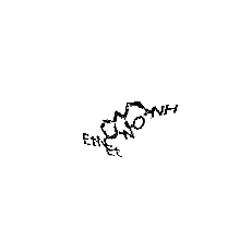 CCN(CC)c1ccc2cc3ccc(=N)oc3nc2c1